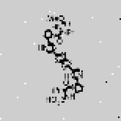 COC(=O)N[C@H](C(=O)N1CCCC1c1nc(-c2nc3sc(-c4cnc([C@@H]5CCCN5C(=O)[C@@H](NC(=O)O)C(C)C)[nH]4)nc3s2)c[nH]1)C(C)C